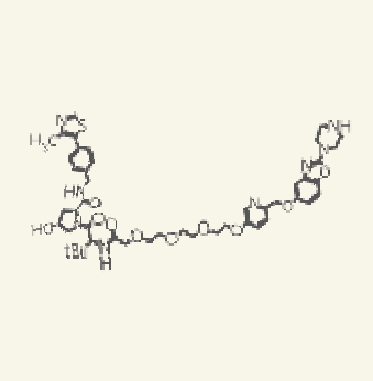 Cc1ncsc1-c1ccc(CNC(=O)[C@@H]2C[C@@H](O)CN2C(=O)C(NC(=O)COCCOCCOCCOc2ccc(COc3ccc4oc(N5CCNCC5)nc4c3)nc2)C(C)(C)C)cc1